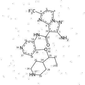 Nc1nn2ccc(C(F)(F)F)nc2c1C(=O)Nc1cnccc1OC(CI)C1CCNCC1